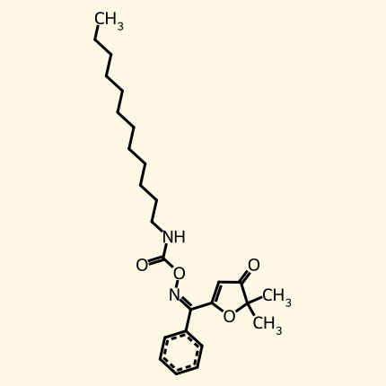 CCCCCCCCCCCCNC(=O)ON=C(C1=CC(=O)C(C)(C)O1)c1ccccc1